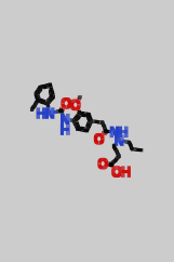 CCCN(CCC(=O)O)NC(=O)Cc1ccc(NC(=O)Nc2ccccc2C)c(OC)c1